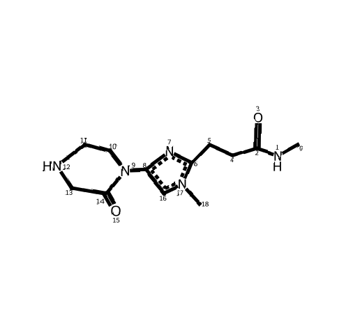 CNC(=O)CCc1nc(N2CCNCC2=O)cn1C